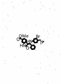 COC(=O)c1ccc2c(c1)NC(=O)C2=C(Nc1ccc(CN(C)C)c(Br)c1)c1ccccc1